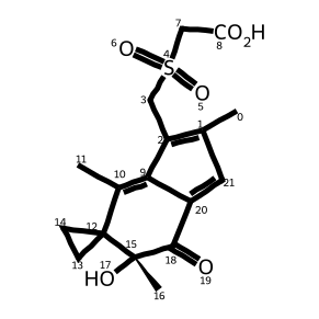 CC1=C(CS(=O)(=O)CC(=O)O)C2=C(C)C3(CC3)[C@@](C)(O)C(=O)C2=C1